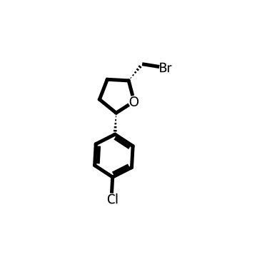 Clc1ccc([C@@H]2CC[C@H](CBr)O2)cc1